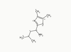 Cc1nc(C(N)CC(C)C)sc1C